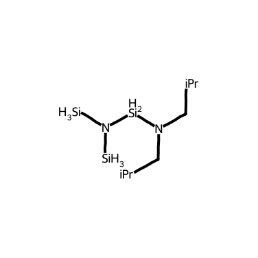 CC(C)CN(CC(C)C)[SiH2]N([SiH3])[SiH3]